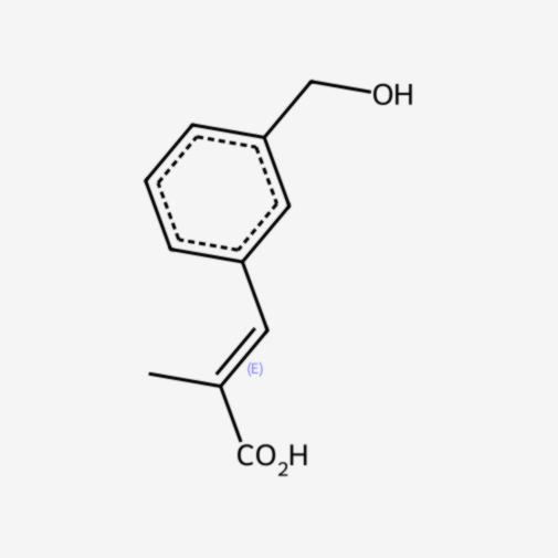 C/C(=C\c1cccc(CO)c1)C(=O)O